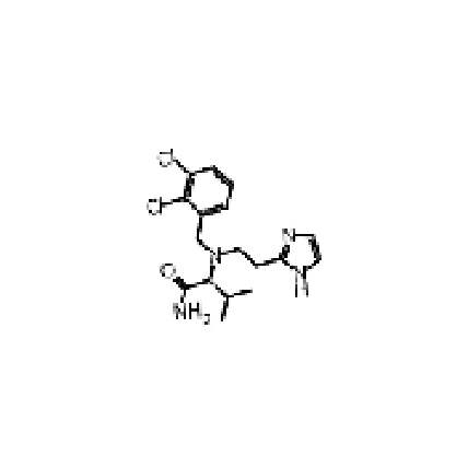 CC(C)[C@@H](C(N)=O)N(CCc1ncc[nH]1)Cc1cccc(Cl)c1Cl